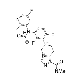 CNC(=O)c1ncn2c1CC[C@@H](c1c(F)ccc(N(c3cc(F)cnc3C)[SH](=O)=O)c1F)C2